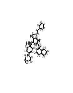 c1ccc(CCn2cnc3c(Nc4ccc(N5CCOCC5)cc4)nc(Oc4cccc5ccccc45)nc32)cc1